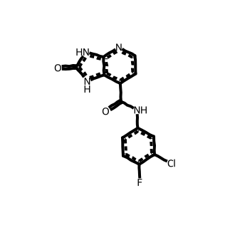 O=C(Nc1ccc(F)c(Cl)c1)c1ccnc2[nH]c(=O)[nH]c12